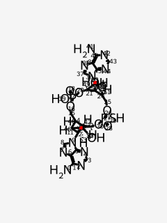 Nc1ncnc2c1ncn2C1[C@H]2C[C@H]3[C@H]2COP(=O)(O)O[C@@H]2[C@H](O)[C@@H](CO[P@](=O)(S)O[C@H]3[C@H]1O)O[C@H]2n1cnc2c(N)ncnc21